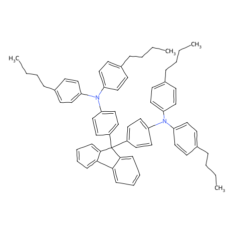 CCCCc1ccc(N(c2ccc(CCCC)cc2)c2ccc(C3(c4ccc(N(c5ccc(CCCC)cc5)c5ccc(CCCC)cc5)cc4)c4ccccc4-c4ccccc43)cc2)cc1